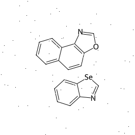 c1ccc2[se]cnc2c1.c1ccc2c(c1)ccc1ocnc12